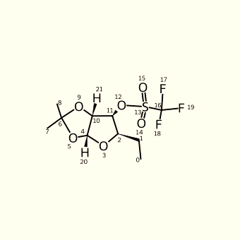 CC[C@H]1O[C@@H]2OC(C)(C)O[C@@H]2[C@H]1OS(=O)(=O)C(F)(F)F